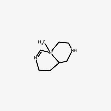 C[N+]12C=NCCC1CNCC2